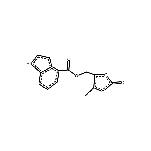 Cc1oc(=O)oc1COC(=O)c1cccc2[nH]ccc12